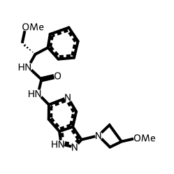 COC[C@@H](NC(=O)Nc1cc2[nH]nc(N3CC(OC)C3)c2cn1)c1ccccc1